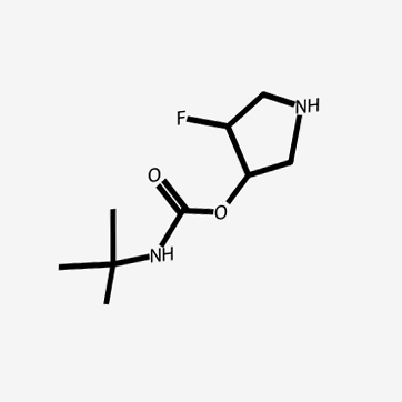 CC(C)(C)NC(=O)OC1CNCC1F